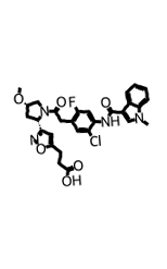 CO[C@H]1C[C@@H](c2cc(CCC(=O)O)on2)N(C(=O)Cc2cc(Cl)c(NC(=O)c3cn(C)c4ccccc34)cc2F)C1